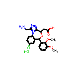 COc1cccc(C2OC(CC(=O)O)c3nnc(CN)n3-c3ccc(Cl)cc32)c1OC.Cl